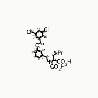 CC(C)CC(C(=O)O)N(CCc1cccc(OCc2cc(Cl)cc(Cl)c2)c1)C(=O)O